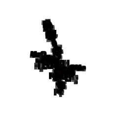 COC(=O)N[C@H](C(=O)N[C@@H](Cc1ccc(C#Cc2cnc(N3CC4CCC(C3)N4C3COC3)nc2)cc1)[C@@H](O)CN(Cc1c(F)cc(-c2ccn(C(F)F)n2)cc1F)NC(=O)[C@@H](NC(=O)OC)C(C)(C)C(F)(F)F)C(C)(C)C(F)(F)F